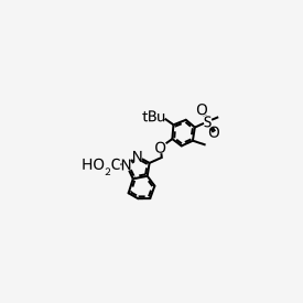 Cc1cc(OCc2nn(C(=O)O)c3ccccc23)c(C(C)(C)C)cc1S(C)(=O)=O